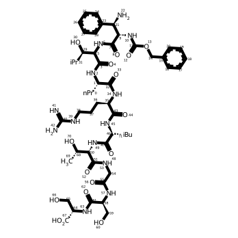 CCC[C@H](NC(=O)C(NC(=O)[C@@H](NC(=O)OCc1ccccc1)[C@H](N)c1ccccc1)[C@H](O)C(C)C)C(=O)N[C@H](CCCNC(=N)N)C(=O)N[C@H](C(=O)N[C@H](C(=O)NCC(=O)N[C@@H](CO)C(=O)N[C@@H](CO)C(=O)O)[C@H](C)O)[C@@H](C)CC